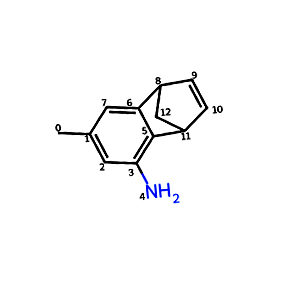 Cc1cc(N)c2c(c1)C1C=CC2C1